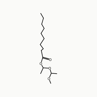 CCCCCCCCCC(=O)OC(C)OC(C)OC